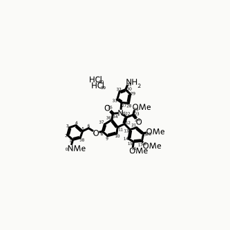 CNc1cccc(COc2ccc3c(-c4cc(OC)c(OC)c(OC)c4)c(C(=O)OC)n(-c4ccc(N)cc4)c(=O)c3c2)c1.Cl.Cl